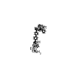 CC[C@@H](OC(N)=O)C(=O)N1CCC[C@H]1c1ncc(-c2ccc(-c3ccc(-c4cnc([C@@H]5CCCN5C(=O)[C@@H](c5ccccc5)N(CC)CC)[nH]4)cc3)cc2)[nH]1